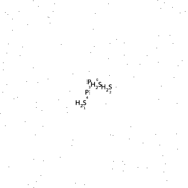 S.S.S.[P].[P]